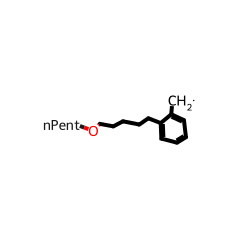 [CH2]c1ccccc1CCCCCOCCCCC